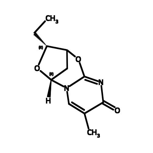 CC[C@H]1O[C@@H]2CC1Oc1nc(=O)c(C)cn12